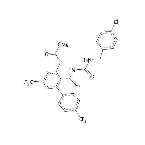 CCC(NC(=O)NCc1ccc(Cl)cc1)c1c(CC(=O)OC)cc(C(F)(F)F)cc1-c1ccc(C(F)(F)F)cc1